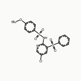 CC(C)(C)Oc1ccc(S(=O)(=O)Nc2ncc(Cl)cc2S(=O)(=O)c2ccccc2)cc1